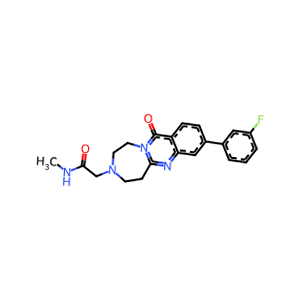 CNC(=O)CN1CCc2nc3cc(-c4cccc(F)c4)ccc3c(=O)n2CC1